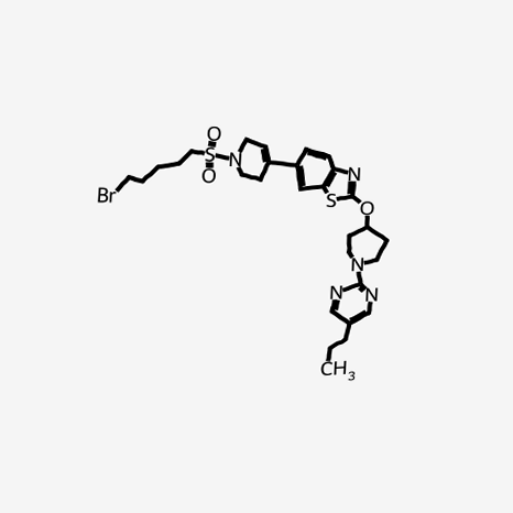 CCCc1cnc(N2CCC(Oc3nc4ccc(C5=CCN(S(=O)(=O)CCCCCBr)CC5)cc4s3)CC2)nc1